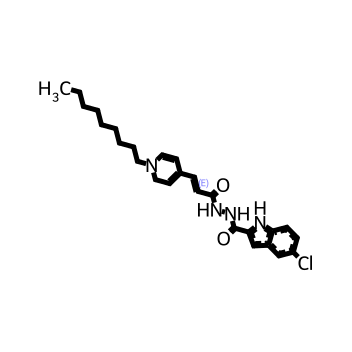 CCCCCCCCCN1C=CC(/C=C/C(=O)NNC(=O)c2cc3cc(Cl)ccc3[nH]2)=CC1